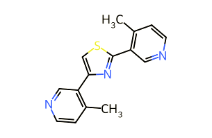 Cc1ccncc1-c1csc(-c2cnccc2C)n1